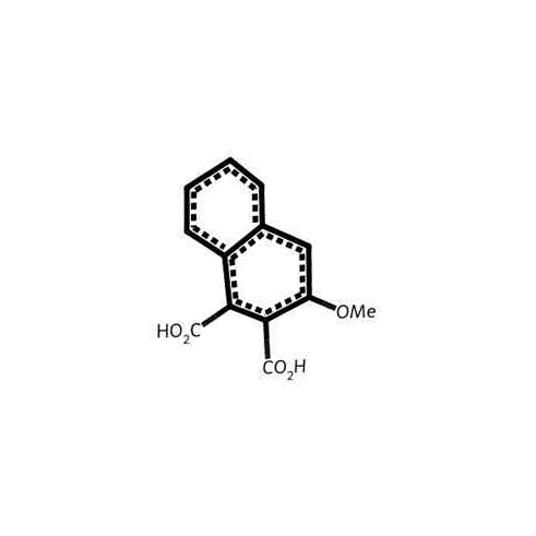 COc1cc2ccccc2c(C(=O)O)c1C(=O)O